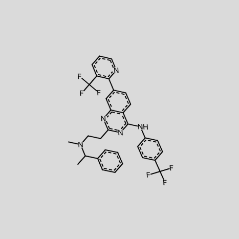 CC(c1ccccc1)N(C)CCc1nc(Nc2ccc(C(F)(F)F)cc2)c2ccc(-c3ncccc3C(F)(F)F)cc2n1